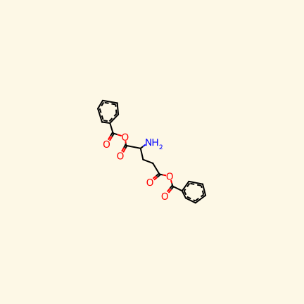 NC(CCC(=O)OC(=O)c1ccccc1)C(=O)OC(=O)c1ccccc1